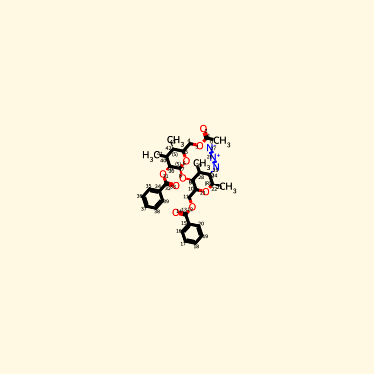 CC(=O)OCC1O[C@@H](O[C@@H]2C(COC(=O)c3ccccc3)O[C@H](C)[C@@H](N=[N+]=[N-])C2C)[C@@H](OC(=O)c2ccccc2)C(C)[C@@H]1C